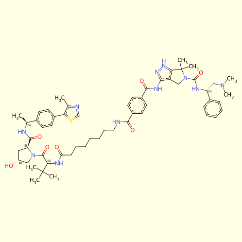 Cc1ncsc1-c1ccc([C@H](C)NC(=O)[C@@H]2C[C@@H](O)CN2C(=O)[C@@H](NC(=O)CCCCCCCNC(=O)c2ccc(C(=O)Nc3n[nH]c4c3CN(C(=O)N[C@H](CN(C)C)c3ccccc3)C4(C)C)cc2)C(C)(C)C)cc1